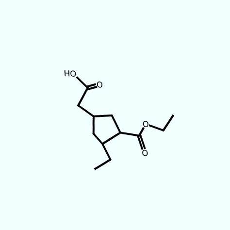 CCOC(=O)C1CC(CC(=O)O)CC1CC